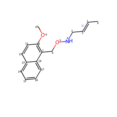 C/C=C/CNOCc1c(OC)ccc2ccccc12